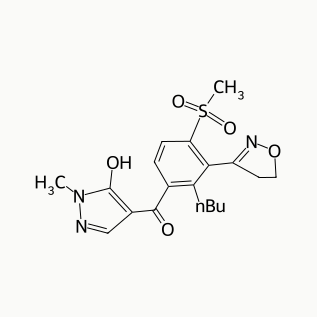 CCCCc1c(C(=O)c2cnn(C)c2O)ccc(S(C)(=O)=O)c1C1=NOCC1